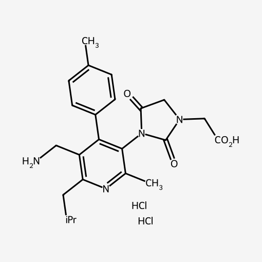 Cc1ccc(-c2c(CN)c(CC(C)C)nc(C)c2N2C(=O)CN(CC(=O)O)C2=O)cc1.Cl.Cl